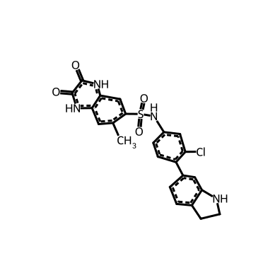 Cc1cc2[nH]c(=O)c(=O)[nH]c2cc1S(=O)(=O)Nc1ccc(-c2ccc3c(c2)NCC3)c(Cl)c1